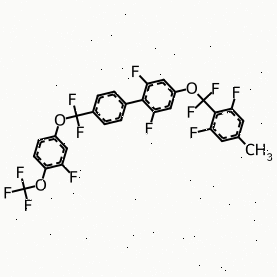 Cc1cc(F)c(C(F)(F)Oc2cc(F)c(-c3ccc(C(F)(F)Oc4ccc(OC(F)(F)F)c(F)c4)cc3)c(F)c2)c(F)c1